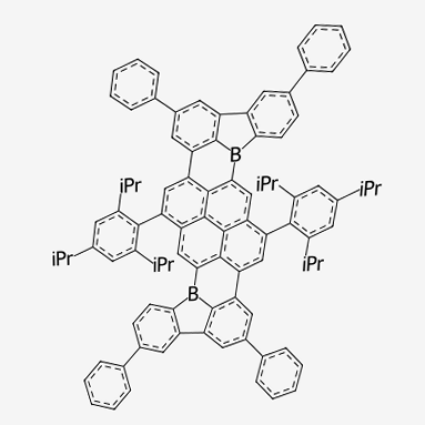 CC(C)c1cc(C(C)C)c(-c2cc3c4c(cc5c(-c6c(C(C)C)cc(C(C)C)cc6C(C)C)cc6c7c(cc2c4c57)B2c4ccc(-c5ccccc5)cc4-c4cc(-c5ccccc5)cc-6c42)B2c4ccc(-c5ccccc5)cc4-c4cc(-c5ccccc5)cc-3c42)c(C(C)C)c1